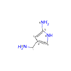 NCc1c[nH]c(N)c1